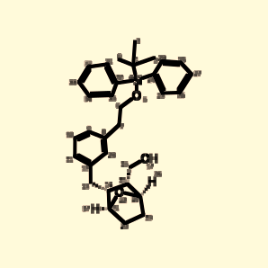 CC(C)(C)[Si](OCCc1cccc(C[C@@H]2[C@H](CO)[C@H]3CC[C@@H]2O3)c1)(c1ccccc1)c1ccccc1